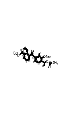 CCOc1nccc2c(C(=O)c3ccc(C(C)OC(N)=O)c(OC)c3C)cccc12